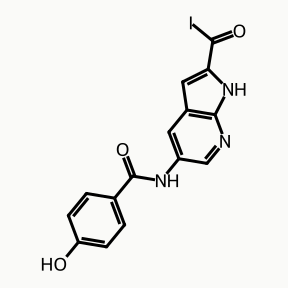 O=C(Nc1cnc2[nH]c(C(=O)I)cc2c1)c1ccc(O)cc1